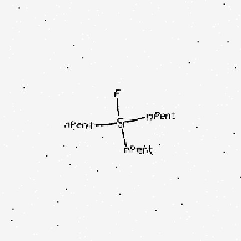 CCCCC[Si](F)(CCCCC)CCCCC